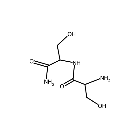 NC(=O)C(CO)NC(=O)C(N)CO